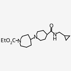 CCOC(=O)N1CCCC(N2CCC(C(=O)NCC3CC3)CC2)CC1